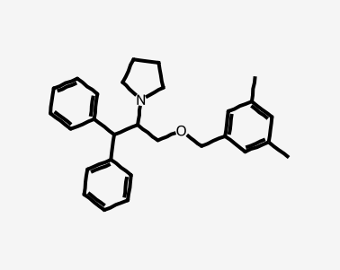 Cc1cc(C)cc(COCC(C(c2ccccc2)c2ccccc2)N2CCCC2)c1